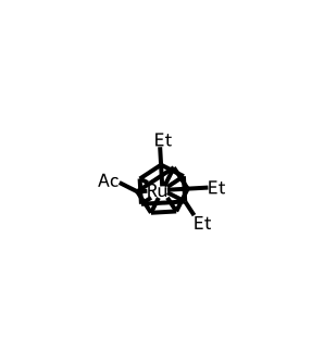 CC[C]12[CH]3[CH]4[C]5(CC)[CH]1[Ru]34251678[CH]2[CH]1[C]6(C(C)=O)[CH]7[C]28CC